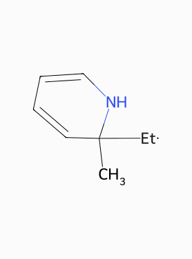 C[CH]C1(C)C=CC=CN1